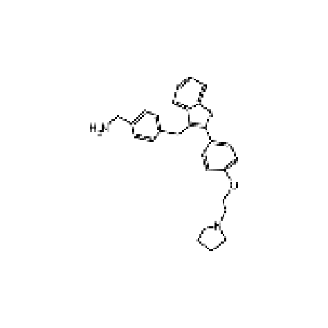 NCc1ccc(Cc2c(-c3ccc(OCCN4CCCC4)cc3)sc3ccccc23)cc1